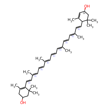 CC1=C[C@@H](O)CC(C)(C)C1/C=C/C(C)=C/C=C/C(C)=C/C=C/C=C(C)/C=C/C=C(C)/C=C/C1=C(C)CC(O)CC1(C)C